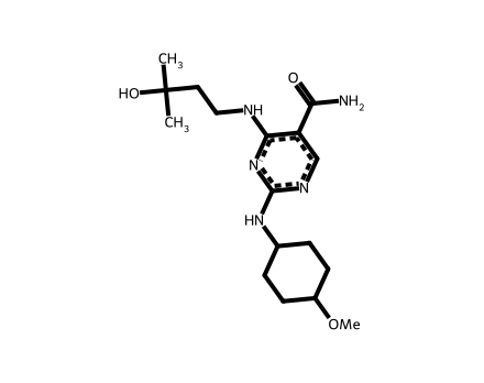 COC1CCC(Nc2ncc(C(N)=O)c(NCCC(C)(C)O)n2)CC1